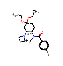 CCOC1(OCC)CC[C@H](N(C)C(=O)c2ccc(Br)cc2)[C@@H](N2CCC2)C1